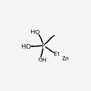 CCP(C)(O)(O)O.[Zn]